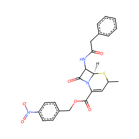 CC1C=C(C(=O)OCc2ccc([N+](=O)[O-])cc2)N2C(=O)C(NC(=O)Cc3ccccc3)[C@H]2S1